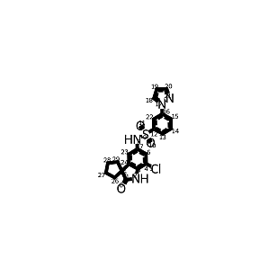 O=C1Nc2c(Cl)cc(NS(=O)(=O)c3cccc(-n4cccn4)c3)cc2C12CCCC2